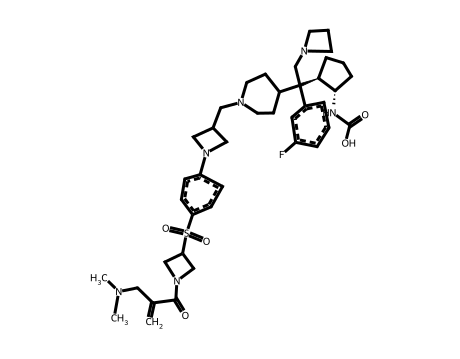 C=C(CN(C)C)C(=O)N1CC(S(=O)(=O)c2ccc(N3CC(CN4CCC(C(CN5CCC5)(c5cccc(F)c5)[C@H]5CCC[C@@H]5NC(=O)O)CC4)C3)cc2)C1